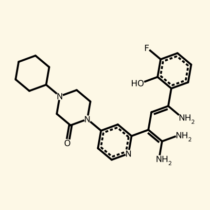 NC(N)=C(/C=C(\N)c1cccc(F)c1O)c1cc(N2CCN(C3CCCCC3)CC2=O)ccn1